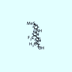 CSN1CCC(Nc2ncc(C(F)(F)F)c(-c3cnc(N(C)CCO)s3)n2)CC1